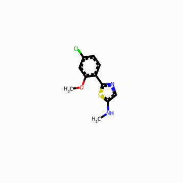 CNc1cnc(-c2ccc(Cl)cc2OC)s1